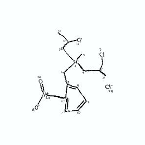 CC(Cl)C[N+](C)(Cc1ccccc1[N+](=O)[O-])CC(C)Cl.[Cl-]